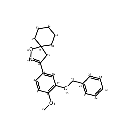 COc1ccc(C2=NOC3(CCCCC3)C2)cc1OCc1ccccc1